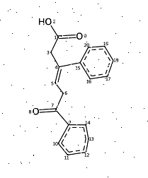 O=C(O)C/C(=C/CC(=O)c1ccccc1)c1ccccc1